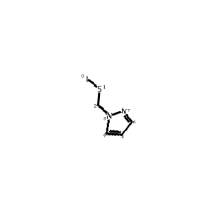 ISCn1cccn1